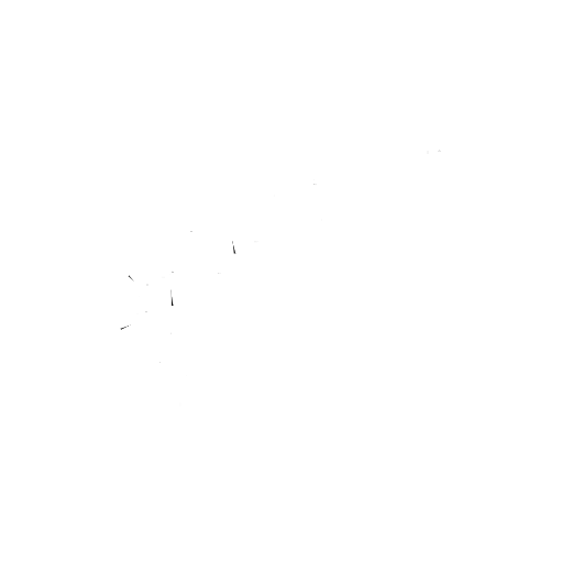 CCCCCCCCCCCCCCC(=O)OC1CC[C@@]2(C)C(=CCC3C2CC[C@@]2(C)C3CC[C@@H]2[C@H](C)CCCC(C)C)C1